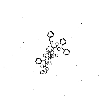 CC(C)(C)OC(=O)NC(C(=O)N[C@@H]1C(=O)N2C(C(=O)OC(c3ccccc3)c3ccccc3)=C(OCc3ccccc3)CS[C@H]12)c1ccccc1